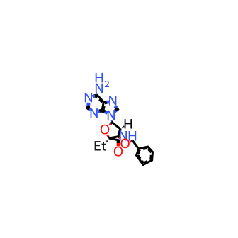 CC[C@@]12O[C@@H](n3cnc4c(N)ncnc43)[C@@H](NC1=O)C2OCc1ccccc1